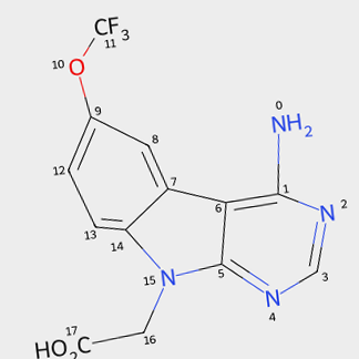 Nc1ncnc2c1c1cc(OC(F)(F)F)ccc1n2CC(=O)O